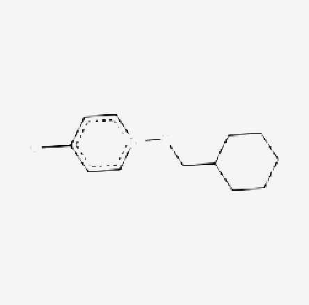 Clc1cc[n+](OCC2CCCCC2)cc1